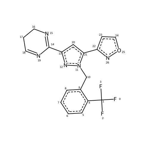 FC(F)(F)c1ccccc1Cn1nc(C2=NCCC=N2)cc1-c1ccon1